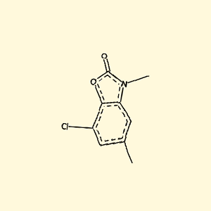 Cc1cc(Cl)c2oc(=O)n(C)c2c1